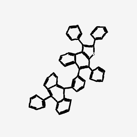 c1ccc(-c2sc3c(-c4ccccc4)c(-c4cccc(-c5c6ccccc6c(-c6ccccc6)c6ccccc56)c4)c4ccccc4c3c2-c2ccccc2)cc1